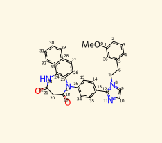 COc1cccc(CCn2ccnc2-c2ccc(N3C(=O)CC(=O)Nc4c3ccc3ccccc43)cc2)c1